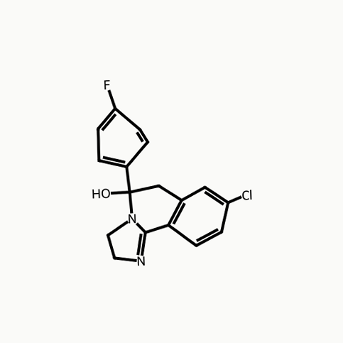 OC1(c2ccc(F)cc2)Cc2cc(Cl)ccc2C2=NCCN21